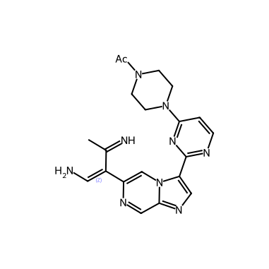 CC(=N)/C(=C\N)c1cn2c(-c3nccc(N4CCN(C(C)=O)CC4)n3)cnc2cn1